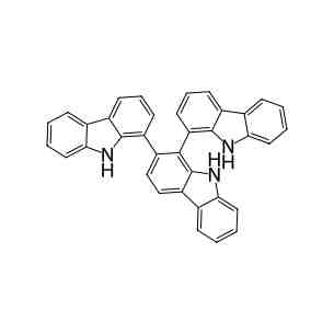 c1ccc2c(c1)[nH]c1c(-c3ccc4c([nH]c5ccccc54)c3-c3cccc4c3[nH]c3ccccc34)cccc12